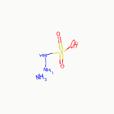 N.NNS(=O)(=O)O